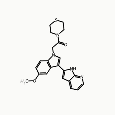 COc1ccc2c(c1)c(-c1cc3cccnc3[nH]1)cn2CC(=O)N1CCSCC1